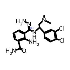 CN(C)CC(N/C(=N/N)c1cccc(C(N)=O)c1N)c1ccc(Cl)c(Cl)c1